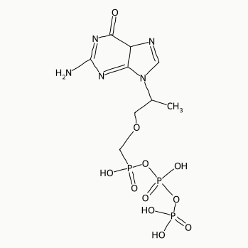 CC(COCP(=O)(O)OP(=O)(O)OP(=O)(O)O)N1C=NC2C(=O)N=C(N)N=C21